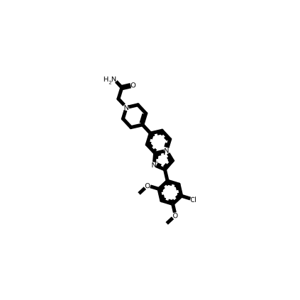 COc1cc(OC)c(-c2cn3ccc(C4=CCN(CC(N)=O)CC4)cc3n2)cc1Cl